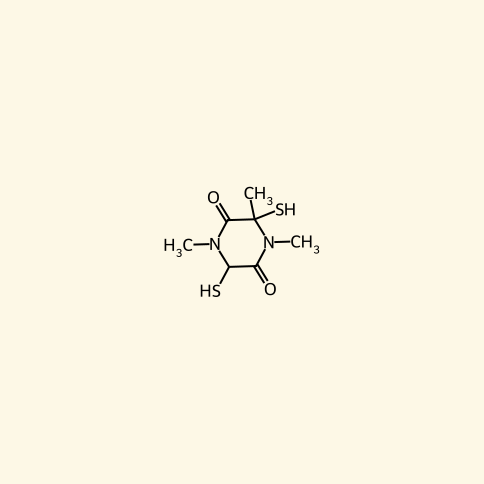 CN1C(=O)C(C)(S)N(C)C(=O)C1S